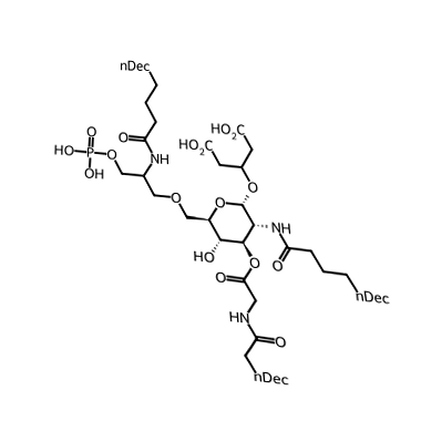 CCCCCCCCCCCCCC(=O)NC(COC[C@H]1O[C@H](OC(CC(=O)O)CC(=O)O)[C@H](NC(=O)CCCCCCCCCCCCC)[C@@H](OC(=O)CNC(=O)CCCCCCCCCCC)[C@@H]1O)COP(=O)(O)O